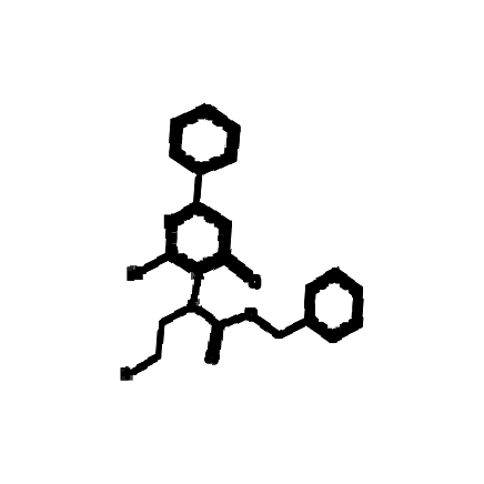 CCc1nc(-c2ccccc2)cc(=O)n1N(CCBr)C(=O)OCc1ccccc1